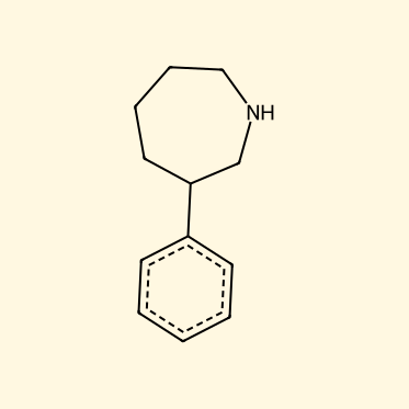 c1ccc(C2CCCCNC2)cc1